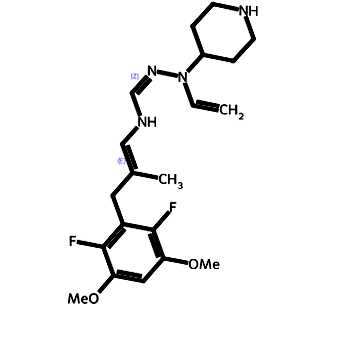 C=CN(/N=C\N/C=C(\C)Cc1c(F)c(OC)cc(OC)c1F)C1CCNCC1